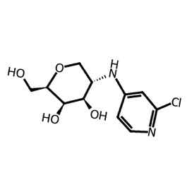 OC[C@H]1OC[C@H](Nc2ccnc(Cl)c2)[C@@H](O)[C@H]1O